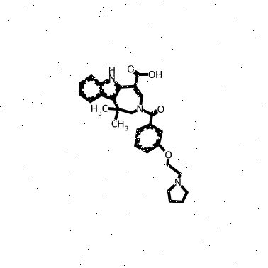 CC1(C)CN(C(=O)c2cccc(OCCN3CCCC3)c2)C=C(C(=O)O)c2[nH]c3ccccc3c21